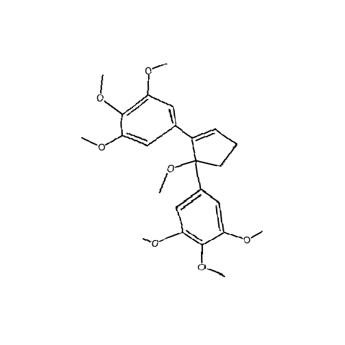 COc1cc(C2=CCCC2(OC)c2cc(OC)c(OC)c(OC)c2)cc(OC)c1OC